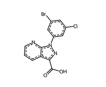 O=C(O)c1nn(-c2cc(Cl)cc(Br)c2)c2ncccc12